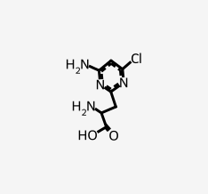 Nc1cc(Cl)nc(CC(N)C(=O)O)n1